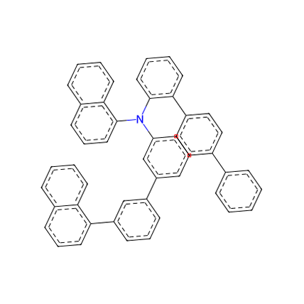 c1ccc(-c2ccc(-c3ccccc3N(c3cccc(-c4cccc(-c5cccc6ccccc56)c4)c3)c3cccc4ccccc34)cc2)cc1